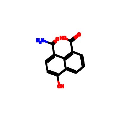 NC(=O)c1ccc(O)c2cccc(C(=O)O)c12